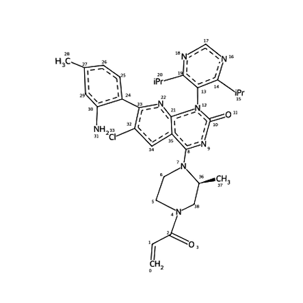 C=CC(=O)N1CCN(c2nc(=O)n(-c3c(C(C)C)ncnc3C(C)C)c3nc(-c4ccc(C)cc4N)c(Cl)cc23)[C@@H](C)C1